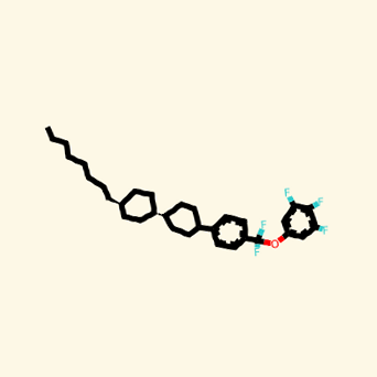 CCCCCCCC[C@H]1CC[C@H](C2CCC(c3ccc(C(F)(F)Oc4cc(F)c(F)c(F)c4)cc3)CC2)CC1